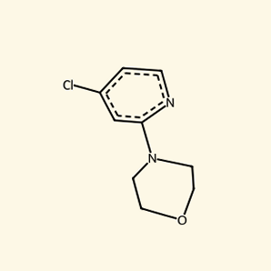 Clc1ccnc(N2CCOCC2)c1